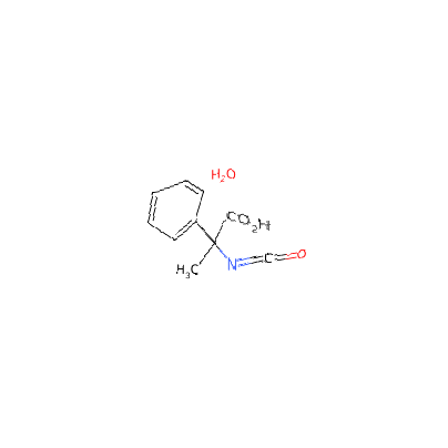 CC(N=C=O)(C(=O)O)c1ccccc1.O